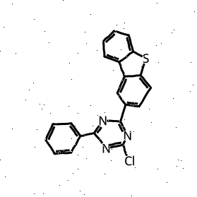 Clc1nc(-c2ccccc2)nc(-c2ccc3sc4ccccc4c3c2)n1